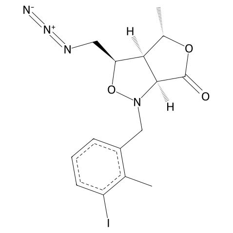 Cc1c(I)cccc1CN1O[C@@H](CN=[N+]=[N-])[C@H]2[C@H](C)OC(=O)[C@H]21